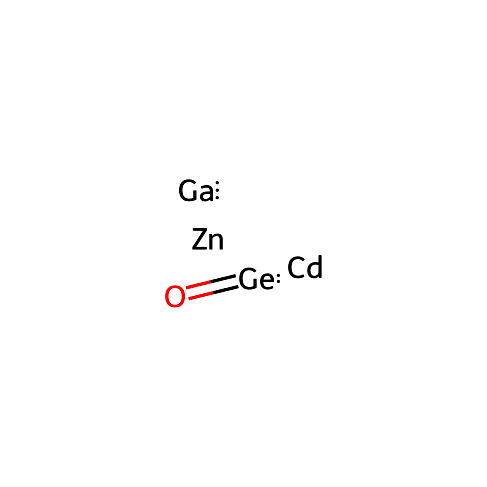 [Cd].[Ga].[O]=[Ge].[Zn]